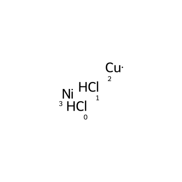 Cl.Cl.[Cu].[Ni]